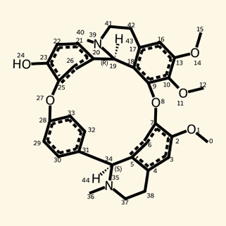 COc1cc2c3cc1Oc1c(OC)c(OC)cc4c1[C@@H](c1ccc(O)c(c1)Oc1ccc(cc1)[C@@H]3N(C)CC2)N(C)CC4